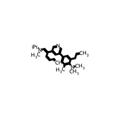 C=C/C=C\C(=C/N(C)C(C)C)c1cncc(-c2cc(C)c(N(C)C)c(CC=C)c2)c1